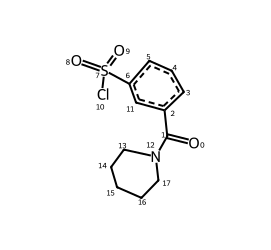 O=C(c1cccc(S(=O)(=O)Cl)c1)N1CCCCC1